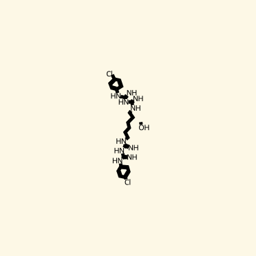 CO.N=C(NCCCCCCNC(=N)NC(=N)Nc1ccc(Cl)cc1)NC(=N)Nc1ccc(Cl)cc1